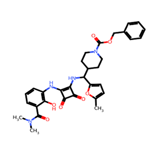 Cc1ccc(C(Nc2c(Nc3cccc(C(=O)N(C)C)c3O)c(=O)c2=O)C2CCN(C(=O)OCc3ccccc3)CC2)o1